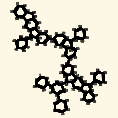 c1ccc(-c2nc(-c3ccccc3)nc(-n3c4ccc(-c5ccc6c(c5)c5cc(-c7ccc8c(c7)c7cc9c(cc7n8-c7ccccc7)-c7ccccc7C9)ccc5n6-c5ccccc5)cc4c4cc5c(cc43)c3ccccc3n5-c3ccccc3)n2)cc1